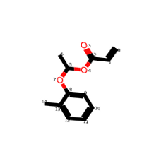 C=CC(=O)OC(C)Oc1ccccc1C